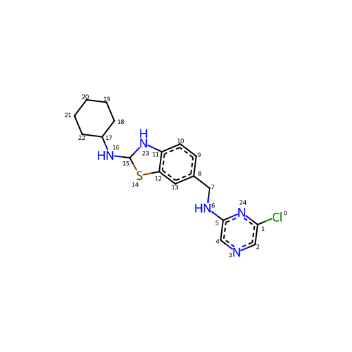 Clc1cncc(NCc2ccc3c(c2)SC(NC2CCCCC2)N3)n1